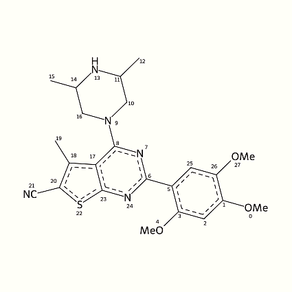 COc1cc(OC)c(-c2nc(N3CC(C)NC(C)C3)c3c(C)c(C#N)sc3n2)cc1OC